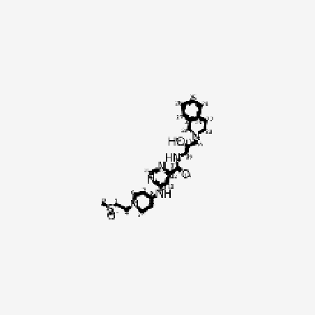 C[S+]([O-])CCN1CCC(Nc2cc(C(=O)NCC(O)CN3CCc4ccccc4C3)ncn2)CC1